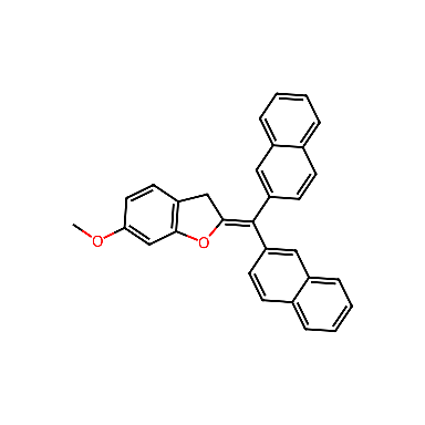 COc1ccc2c(c1)OC(=C(c1ccc3ccccc3c1)c1ccc3ccccc3c1)C2